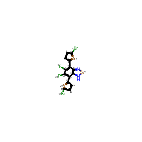 FC1=C(c2ccc(Br)s2)C2=NSNC2C(c2ccc(Br)s2)=C1F